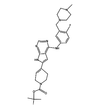 CN1CCN(Cc2cc(Nc3ncnc4[nH]c(C5=CCN(C(=O)OC(C)(C)C)CC5)cc34)ccc2F)CC1